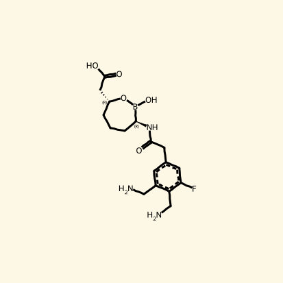 NCc1cc(CC(=O)N[C@H]2CCC[C@H](CC(=O)O)OB2O)cc(F)c1CN